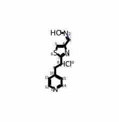 Cl.O/N=C\c1csc(CCc2ccncc2)n1